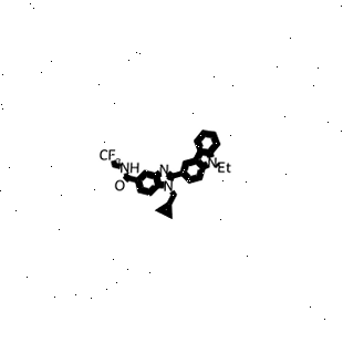 CCn1c2ccccc2c2cc(-c3nc4cc(C(=O)NCC(F)(F)F)ccc4n3CC3CC3)ccc21